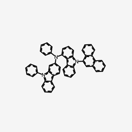 c1ccc(N(c2ccc3c4ccccc4n(-c4ccccc4)c3c2)c2cccc3c2c2ccccc2n3-c2cc3ccccc3c3ccccc23)cc1